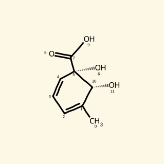 CC1=CC=C[C@@](O)(C(=O)O)[C@@H]1O